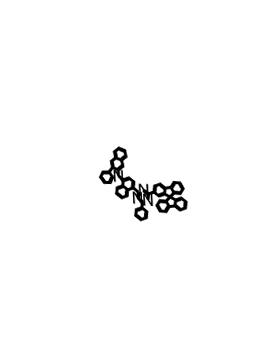 c1ccc(-c2nc(-c3ccc4c(c3)C3(c5ccccc5-c5ccccc53)c3ccccc3-4)nc(-c3ccc(-n4c5ccccc5c5cc6ccccc6cc54)c4ccccc34)n2)cc1